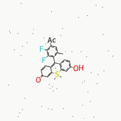 CC(=O)c1cc(C)c(C2=C3C=CC(=O)C=C3S(C)(C)c3cc(O)ccc32)c(F)c1F